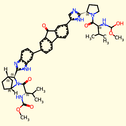 COC(=O)N[C@H](C(=O)N1[C@@H]2CC[C@@H](C2)[C@H]1c1nc2ccc(-c3ccc4c(c3)C(=O)c3cc(-c5cnc([C@@H]6CCCN6C(=O)[C@@H](NC(O)OC)C(C)C)[nH]5)ccc3-4)cc2[nH]1)C(C)C